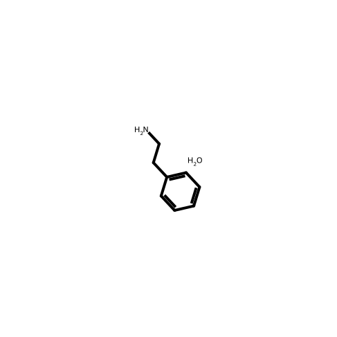 NCCc1ccccc1.O